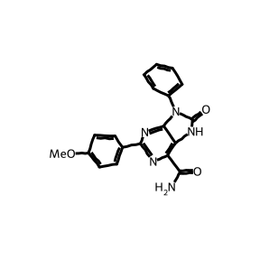 COc1ccc(-c2nc(C(N)=O)c3[nH]c(=O)n(-c4ccccc4)c3n2)cc1